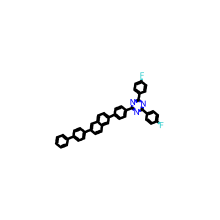 Fc1ccc(-c2nc(-c3ccc(F)cc3)nc(-c3ccc(-c4ccc5cc(-c6ccc(-c7ccccc7)cc6)ccc5c4)cc3)n2)cc1